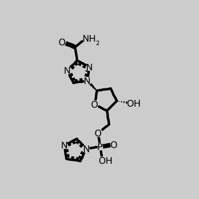 NC(=O)c1ncn([C@H]2C[C@H](O)C(COP(=O)(O)n3ccnc3)O2)n1